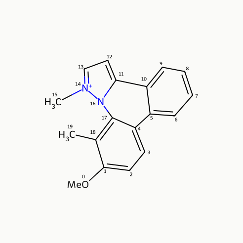 COc1ccc2c3ccccc3c3cc[n+](C)n3c2c1C